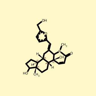 CN1C(=O)C=C[C@@]2(C)C1C(=Cc1ccc(CO)o1)C[C@@H]1[C@H]2CC[C@]2(C)C(O)CC[C@@H]12